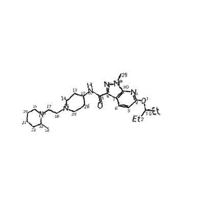 CCC(CC)Oc1ccc2c(C(=O)NC3CCN(CCN4CCCCC4C)CC3)nn(C)c2n1